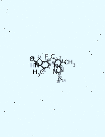 Cc1cc(-c2c(C(F)(F)F)cc(C)c3nc(C4CC4)nn23)cc2c1NC(=O)C2